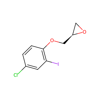 Clc1ccc(OC[C@H]2CO2)c(I)c1